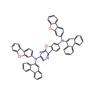 c1ccc2c(c1)cc(N(c1ccc3c(c1)oc1ccccc13)c1ccc3c(c1)oc1nc(N(c4ccc5c(c4)oc4ccccc45)c4cc5ccccc5c5ccccc45)cnc13)c1ccccc12